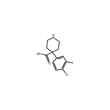 CCCC(=O)C1(c2ccc(Cl)c(I)c2)CCNCC1